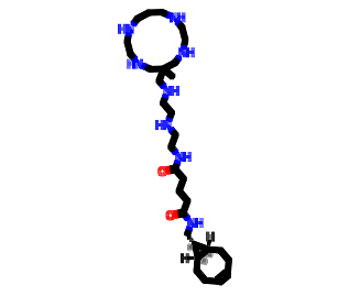 CC1(CNCCNCCNC(=O)CCCC(=O)NC[C@H]2[C@@H]3CCC#CCC[C@@H]32)CNCCNCCCNCCNC1